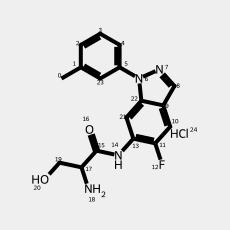 Cc1cccc(-n2ncc3cc(F)c(NC(=O)C(N)CO)cc32)c1.Cl